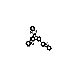 c1ccc2nc3c(nc2c1)c1cc2c4ccccc4sc2c2c4cc(-c5ccc6c(c5)sc5ccccc56)ccc4n3c12